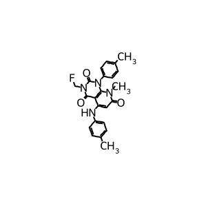 Cc1ccc(Nc2cc(=O)n(C)c3c2c(=O)n(CF)c(=O)n3-c2ccc(C)cc2)cc1